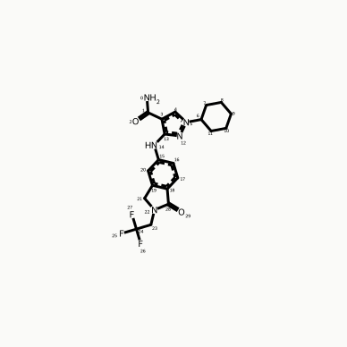 NC(=O)c1cn(C2CCCCC2)nc1Nc1ccc2c(c1)CN(CC(F)(F)F)C2=O